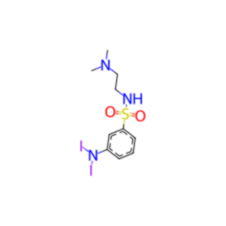 CN(C)CCNS(=O)(=O)c1cccc(N(I)I)c1